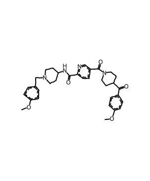 COc1ccc(CN2CCC(NC(=O)c3ccc(C(=O)N4CCC(C(=O)c5ccc(OC)cc5)CC4)cn3)CC2)cc1